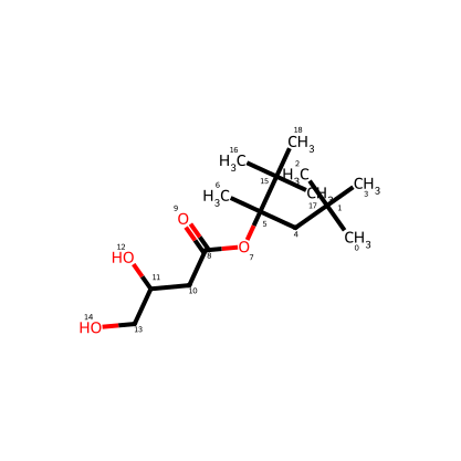 CC(C)(C)CC(C)(OC(=O)CC(O)CO)C(C)(C)C